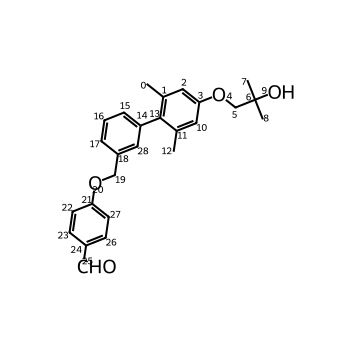 Cc1cc(OCC(C)(C)O)cc(C)c1-c1cccc(COc2ccc(C=O)cc2)c1